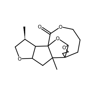 C[C@@H]1COC2CC3(C)C45CCCOC(=O)C3(OC4OCC5)C21